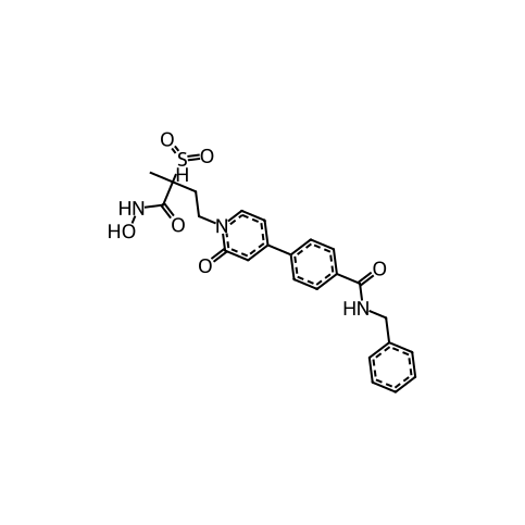 CC(CCn1ccc(-c2ccc(C(=O)NCc3ccccc3)cc2)cc1=O)(C(=O)NO)[SH](=O)=O